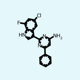 Nc1cc(-c2ccccc2)nc(-c2c[nH]c3c(F)cc(Cl)cc23)n1